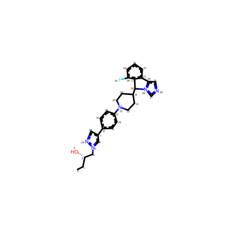 CC[C@H](O)Cn1cc(-c2ccc(N3CCC(C4c5c(F)cccc5-c5cncn54)CC3)cc2)cn1